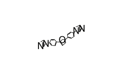 C1=NCCN1c1ccc(-c2ccc(-c3ccc(N4C=NCC4)cc3)o2)cc1